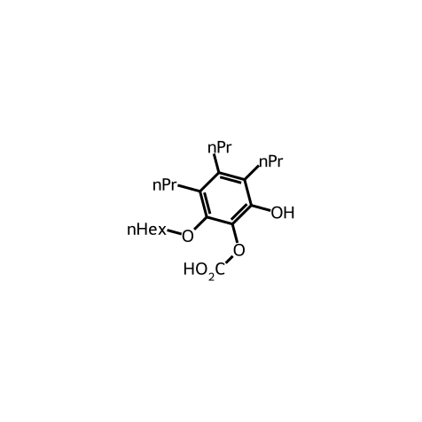 CCCCCCOc1c(CCC)c(CCC)c(CCC)c(O)c1OC(=O)O